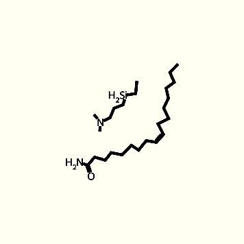 CCCCCCCC/C=C\CCCCCCCC(N)=O.CC[SiH2]CCCN(C)C